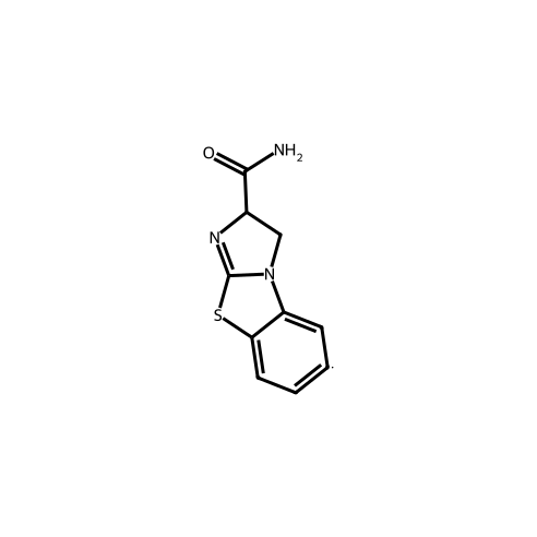 NC(=O)C1CN2C(=N1)Sc1cc[c]cc12